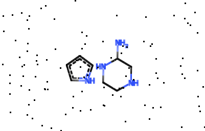 NC1CNCCN1.c1cc[nH]c1